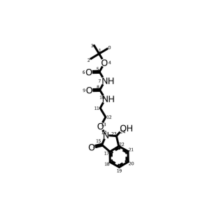 CC(C)(C)OC(=O)NC(=O)NCCON1C(=O)c2ccccc2C1O